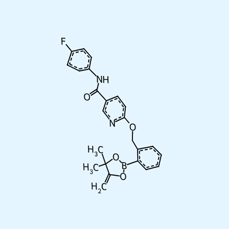 C=C1OB(c2ccccc2COc2ccc(C(=O)Nc3ccc(F)cc3)cn2)OC1(C)C